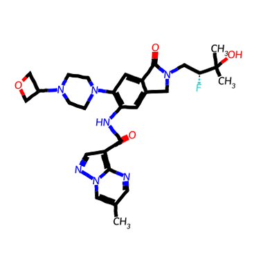 Cc1cnc2c(C(=O)Nc3cc4c(cc3N3CCN(C5COC5)CC3)C(=O)N(C[C@@H](F)C(C)(C)O)C4)cnn2c1